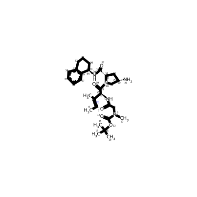 C/C=C(\C)[C@H](NC(=O)CN(C)C(=O)OC(C)(C)C)C(=O)N1C[C@@H](N)C[C@H]1C(=O)N[C@@H]1CCCc2ccccc21